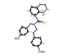 COc1ccc(CCN(Cc2ccc(C(C)(C)C)cc2)C(=O)c2cccc3c2NCCC3)cc1